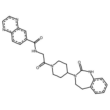 O=C(NCC(=O)N1CCC(N2CCc3ccccc3NC2=O)CC1)c1ccc2nccnc2c1